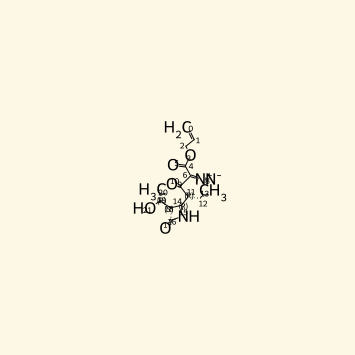 C=CCOC(=O)C(=[N+]=[N-])C(=O)[C@H](CC)[C@H]1NC(=O)[C@@H]1[C@@H](C)O